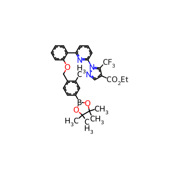 CCOC(=O)c1cnn(-c2cccc(-c3ccccc3OCc3ccc(B4OC(C)(C)C(C)(C)O4)cc3C)n2)c1C(F)(F)F